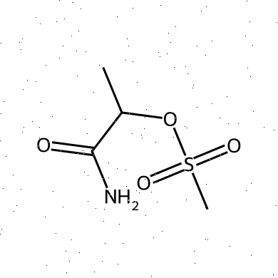 CC(OS(C)(=O)=O)C(N)=O